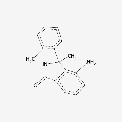 Cc1ccccc1C1(C)NC(=O)c2cccc(N)c21